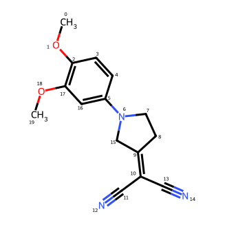 COc1ccc(N2CCC(=C(C#N)C#N)C2)cc1OC